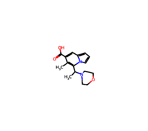 Cc1c(C(=O)O)cc2cccn2c1C(C)N1CCOCC1